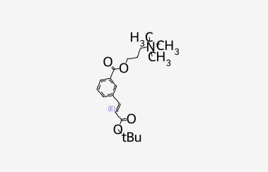 CC(C)(C)OC(=O)/C=C/c1cccc(C(=O)OCCC[N+](C)(C)C)c1